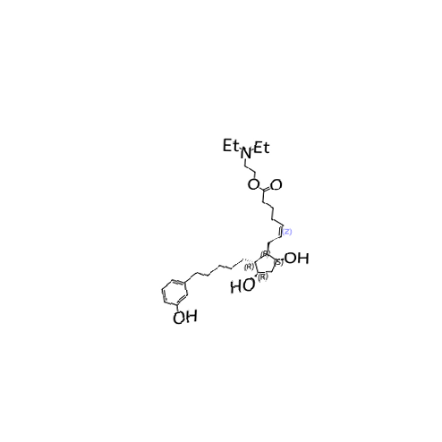 CCN(CC)CCOC(=O)CCC/C=C\C[C@@H]1[C@@H](CCCCCc2cccc(O)c2)[C@H](O)C[C@@H]1O